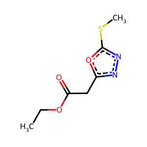 CCOC(=O)Cc1nnc(SC)o1